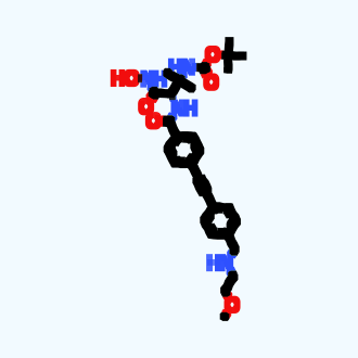 COCCNCc1ccc(C#Cc2ccc(C(=O)N[C@H](C(=O)NO)C(C)(C)NC(=O)OC(C)(C)C)cc2)cc1